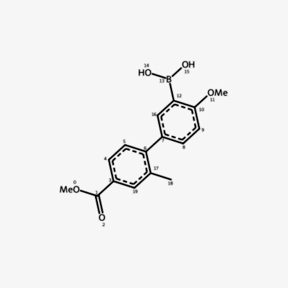 COC(=O)c1ccc(-c2ccc(OC)c(B(O)O)c2)c(C)c1